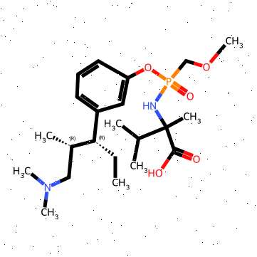 CC[C@@H](c1cccc(OP(=O)(COC)NC(C)(C(=O)O)C(C)C)c1)[C@@H](C)CN(C)C